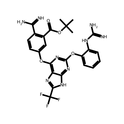 CC(C)(C)OC(=O)c1cc(Oc2nc(Oc3ccccc3NC(=N)N)nc3[nH]c(C(F)(F)F)nc23)ccc1C(=N)N